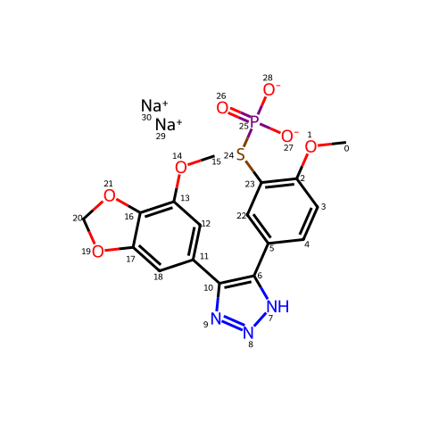 COc1ccc(-c2[nH]nnc2-c2cc(OC)c3c(c2)OCO3)cc1SP(=O)([O-])[O-].[Na+].[Na+]